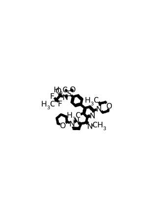 C/N=C(/c1ccn(C2CCCCO2)n1)c1nc(N2CCOCC2C)cc(-c2ccc(S(C)(=O)=NC(=O)C(C)(F)F)cc2)c1C